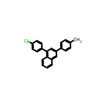 Cc1ccc(-c2[c]c(-c3ccc(Cl)cc3)c3ccccc3c2)cc1